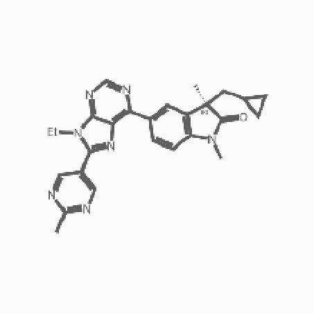 CCn1c(-c2cnc(C)nc2)nc2c(-c3ccc4c(c3)[C@@](C)(CC3CC3)C(=O)N4C)ncnc21